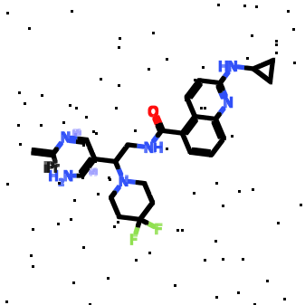 C=C(/N=C\C(=C/N)C(CNC(=O)c1cccc2nc(NC3CC3)ccc12)N1CCC(F)(F)CC1)C(C)C